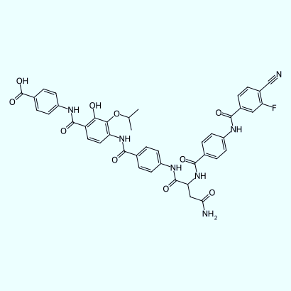 CC(C)Oc1c(NC(=O)c2ccc(NC(=O)C(CC(N)=O)NC(=O)c3ccc(NC(=O)c4ccc(C#N)c(F)c4)cc3)cc2)ccc(C(=O)Nc2ccc(C(=O)O)cc2)c1O